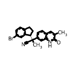 Cc1cc2ccc(C(C)(C#N)[C@H]3CCc4ccc(Br)cc43)cc2[nH]c1=O